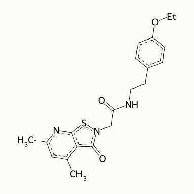 CCOc1ccc(CCNC(=O)Cn2sc3nc(C)cc(C)c3c2=O)cc1